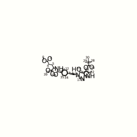 COC(=O)CC[C@@H](NC(=O)c1ccc(C#CN2C=Nc3[nH]c(C)c(OC(=O)C(C)(C)C)c3C2O)cc1)C(=O)OC